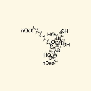 CCCCCCCC/C=C\CCCCCCCC(=O)O[C@H]1[C@@H]([C@@H](CO)OC(=O)CCCCCCCCCCC)OC[C@@H]1O.OCCN(CCO)CCO